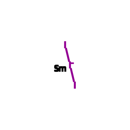 I[I-]I.[Sm]